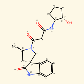 N#C[C@@H]1C[C@@]2(CN1C(=O)CC(=O)N[C@H]1CCC[C@@H]1O)C(=O)Nc1ccccc12